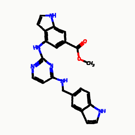 COC(=O)c1cc(Nc2nccc(NCc3ccc4[nH]ccc4c3)n2)c2cc[nH]c2c1